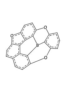 c1cc2c3c(c1)Oc1ccc4oc5ccc6ccc(c7c6c5c4c1B37)O2